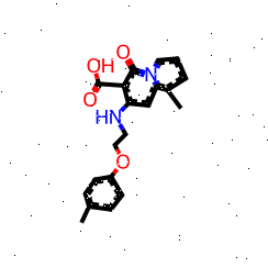 Cc1ccc(OCCNc2cc3c(C)cccn3c(=O)c2C(=O)O)cc1